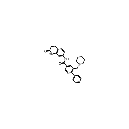 O=C1CCc2ccc(NC(=O)c3ccc(-c4ccccc4)c(CN4CCCCC4)c3)cc2N1